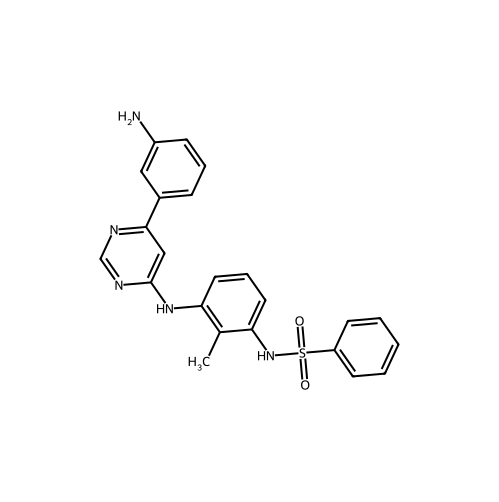 Cc1c(Nc2cc(-c3cccc(N)c3)ncn2)cccc1NS(=O)(=O)c1ccccc1